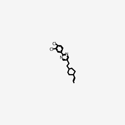 C/C=C/C1CCC(CCc2cnc(-c3ccc(Cl)c(Cl)c3)nc2)CC1